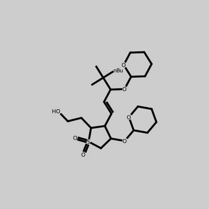 CCCCC(C)(C)C(/C=C/C1C(OC2CCCCO2)CS(=O)(=O)C1CCO)OC1CCCCO1